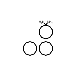 C1CCCCCCCCC1.C1CCCCCCCCC1.NC1(N)CCCCCCCCC1